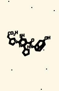 O=C(O)C[C@@H]1CCN(c2nc(C3CCCC3)c(C(=O)NC3C4CC5CC3CC(O)(C5)C4)cc2S)C1